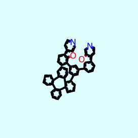 c1ccc2c(c1)-c1ccccc1-c1cccc(-c3cc(-c4cccc5c4oc4cnccc45)cc(-c4cccc5c4oc4cnccc45)c3)c1-c1ccccc1-2